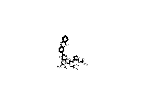 CC(=O)OC1OCC[C@@H]1NC(=O)[C@H](CC(C)C)NC(=O)[C@H](CC(C)C)NC(=O)c1ccc2c(c1)Nc1ccccc1S2